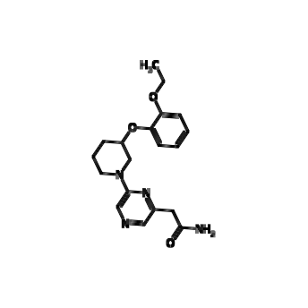 CCOc1ccccc1OC1CCCN(c2cncc(CC(N)=O)n2)C1